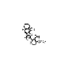 COc1ccnc(C(=O)NC2C(O)C3CC[C@H]2[C@@H]2CCCC[C@H]32)c1O